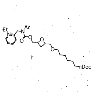 CCCCCCCCCCCCCCCCOC[C@@H]1C[C@@H](COC(=O)N(Cc2cccc[n+]2CC)C(C)=O)O1.[I-]